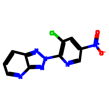 O=[N+]([O-])c1cnc(-n2nc3cccnc3n2)c(Cl)c1